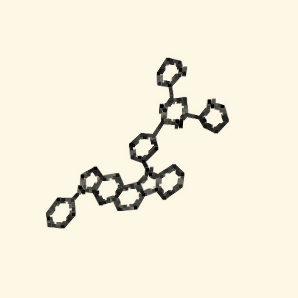 c1ccc(-n2ccc3cc4c(ccc5c6ccccc6n(-c6cccc(-c7nc(-c8ccccn8)cc(-c8ccccn8)n7)c6)c45)cc32)cc1